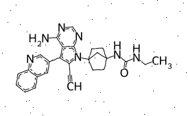 C#Cc1c(-c2cnc3ccccc3c2)c2c(N)ncnc2n1C12CCC(NC(=O)NCC)(CC1)C2